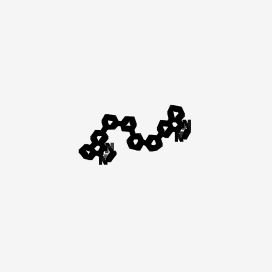 c1cc(-c2cccc(-c3cccc(-c4ccc5c6ccccc6c6nccnc6c5c4)c3)c2)cc(-c2cccc(-c3ccc4c5ccccc5c5nccnc5c4c3)c2)c1